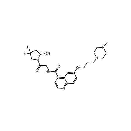 N#C[C@@H]1CC(F)(F)CN1C(=O)CNC(=O)c1ccnc2ccc(OCCCN3CCN(I)CC3)cc12